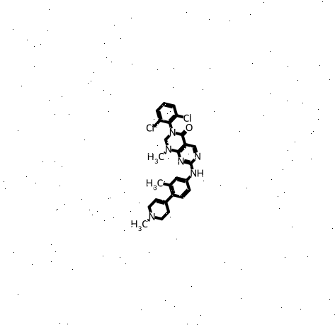 Cc1cc(Nc2ncc3c(n2)N(C)CN(c2c(Cl)cccc2Cl)C3=O)ccc1C1=CCN(C)CC1